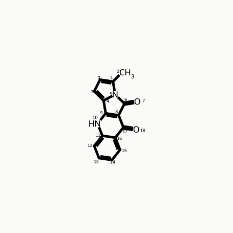 Cc1ccc2n1C(=O)c1c-2[nH]c2ccccc2c1=O